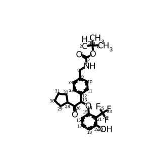 CC(C)(C)OC(=O)NCc1ccc(C(Oc2cccc(O)c2C(F)(F)F)C(=O)C2CCCC2)cc1